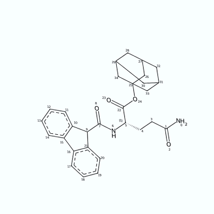 NC(=O)CC[C@H](NC(=O)C1c2ccccc2-c2ccccc21)C(=O)OC12CC3CC(CC(C3)C1)C2